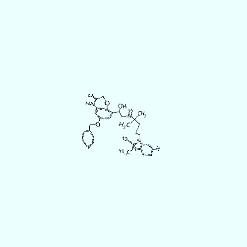 Cn1c(=O)n(CCCC(C)(C)NCC(O)c2cc(OCc3ccccc3)cc3c2OCC(=O)N3)c2cc(F)ccc21